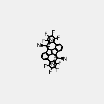 N#CC(C#N)=C1C2=C(C(=C(C#N)C#N)c3cccc(-c4c(F)c(F)c(F)c(F)c4F)c32)c2c1cccc2-c1c(F)c(F)c(F)c(F)c1F